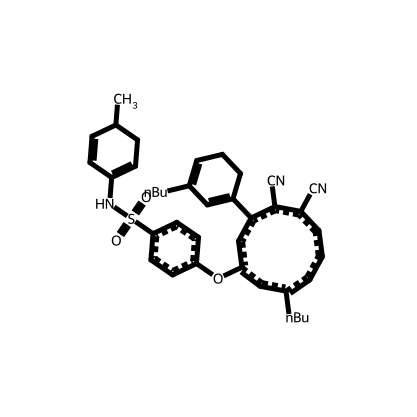 CCCCC1=CCCC(c2cc(Oc3ccc(S(=O)(=O)NC4=CCC(C)C=C4)cc3)cc(CCCC)cccc(C#N)c2C#N)=C1